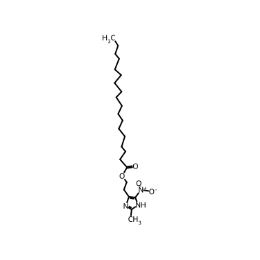 CCCCCCCCCCCCCCCCCC(=O)OCCc1nc(C)[nH]c1[N+](=O)[O-]